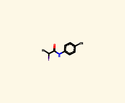 CCC(I)C(=O)Nc1ccc(C#N)cc1